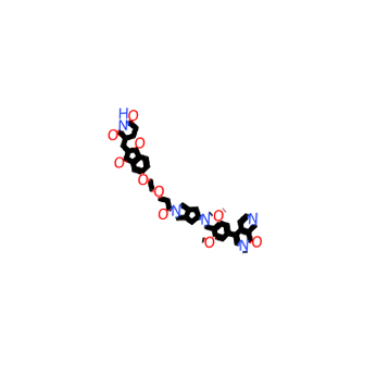 COc1cc(-c2cn(C)c(=O)c3cnccc23)cc(OC)c1CN(C)C1CC2CN(C(=O)CCOCCOc3ccc4c(c3)C(=O)C(CC3CCC(=O)NC3=O)C4=O)CC2C1